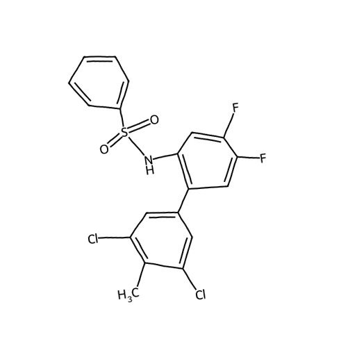 Cc1c(Cl)cc(-c2cc(F)c(F)cc2NS(=O)(=O)c2ccccc2)cc1Cl